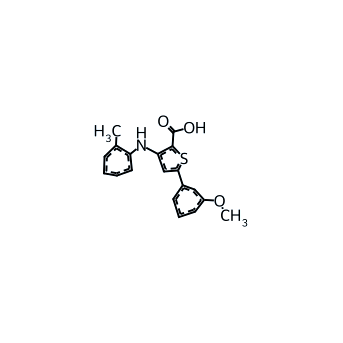 COc1cccc(-c2cc(Nc3ccccc3C)c(C(=O)O)s2)c1